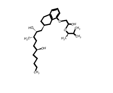 CCCCC[C@H](O)CC[C@H](C)[C@H](O)C[C@H]1CCc2cccc(OCC(O)O[C@H](C)C(C)C)c2C1